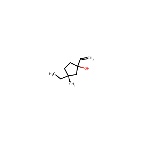 C=CC1(O)CC[C@@](C)(CC)C1